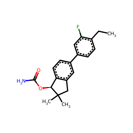 CCc1ccc(-c2ccc3c(c2)CC(C)(C)[C@H]3OC(N)=O)cc1F